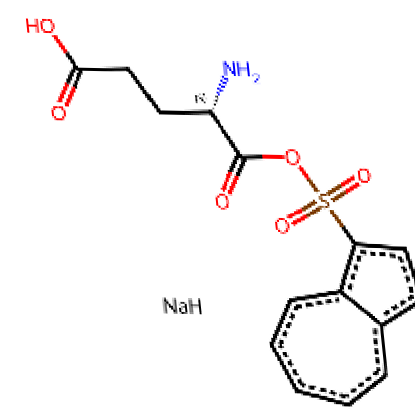 N[C@@H](CCC(=O)O)C(=O)OS(=O)(=O)c1ccc2cccccc1-2.[NaH]